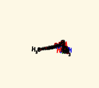 CCC=CCC=CCC=CCC=CCC=CCC=CCCC(=O)NCCCCC(NP(=O)(OC[C@H]1O[C@@H](n2ccc(=O)[nH]c2=O)[C@](C)(F)[C@@H]1O)Oc1ccccc1)C(=O)O